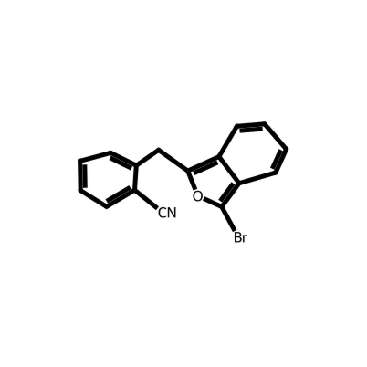 N#Cc1ccccc1Cc1oc(Br)c2ccccc12